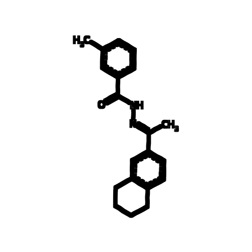 CC(=NNC(=O)c1cccc(C)c1)c1ccc2c(c1)CCCC2